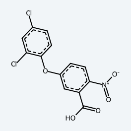 O=C(O)c1cc(Oc2ccc(Cl)cc2Cl)ccc1[N+](=O)[O-]